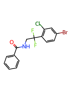 O=C(NCC(F)(F)c1ccc(Br)cc1Cl)c1ccccc1